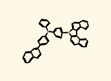 c1ccc(N(c2ccc(-c3ccc4ccccc4c3)cc2)c2ccc(-n3c4ccc5ccccc5c4c4c5ccccc5ccc43)cc2)cc1